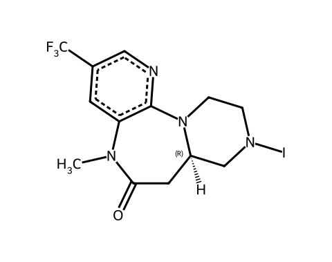 CN1C(=O)C[C@@H]2CN(I)CCN2c2ncc(C(F)(F)F)cc21